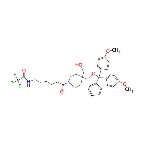 COc1ccc(C(OCC2(CO)CCN(C(=O)CCCCCNC(=O)C(F)(F)F)CC2)(c2ccccc2)c2ccc(OC)cc2)cc1